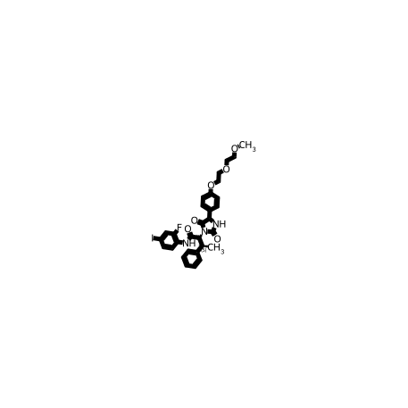 COCCOCCOc1ccc(C2NC(=O)N([C@H](C(=O)Nc3ccc(I)cc3F)[C@@H](C)c3ccccc3)C2=O)cc1